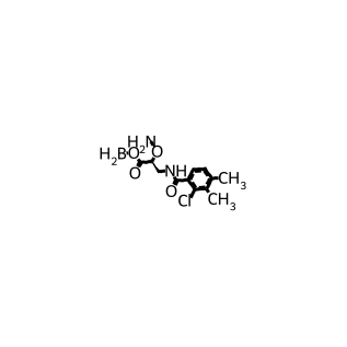 BOC(=O)[C@H](CNC(=O)c1ccc(C)c(C)c1Cl)ON